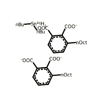 CCCCCCCCc1cccc(C(=O)[O-])c1C(=O)[O-].CCCCCCCCc1cccc(C(=O)[O-])c1C(=O)[O-].CCC[CH2][SnH2+4][CH2]CCC